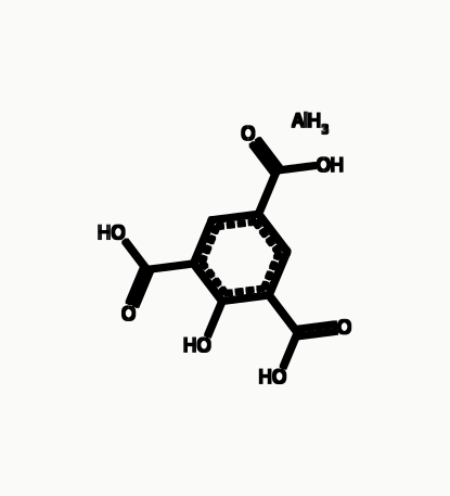 O=C(O)c1cc(C(=O)O)c(O)c(C(=O)O)c1.[AlH3]